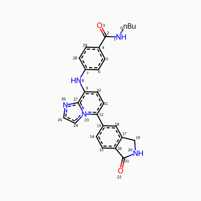 CCCCNC(=O)c1ccc(Nc2ccc(-c3ccc4c(c3)CNC4=O)n3ccnc23)cc1